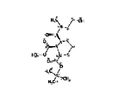 COC(=O)[C@H]1[C@@H](C(=O)N(C)CCO)CCCN1C(=O)OC(C)(C)C